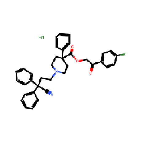 Cl.N#CC(CCN1CCC(C(=O)OCC(=O)c2ccc(Cl)cc2)(c2ccccc2)CC1)(c1ccccc1)c1ccccc1